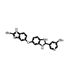 CC(C)(C)c1cncc(C2Nc3ccc(Oc4ccc5[nH]c(C(C)(C)C)nc5c4)cc3N2)c1